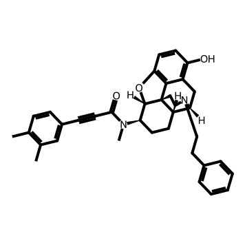 Cc1ccc(C#CC(=O)N(C)[C@@H]2CC[C@H]3[C@H]4Cc5c(O)ccc6c5[C@@]3(CCN4CCc3ccccc3)[C@H]2O6)cc1C